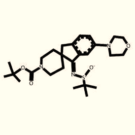 CC(C)(C)OC(=O)N1CCC2(CC1)Cc1ccc(N3CCOCC3)cc1/C2=N\[S+]([O-])C(C)(C)C